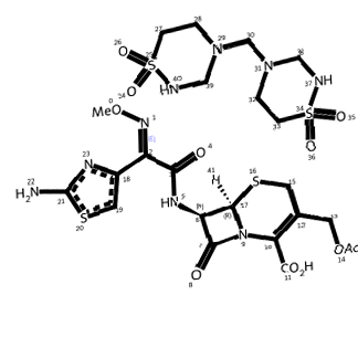 CO/N=C(/C(=O)N[C@@H]1C(=O)N2C(C(=O)O)=C(COC(C)=O)CS[C@H]12)c1csc(N)n1.O=S1(=O)CCN(CN2CCS(=O)(=O)NC2)CN1